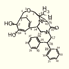 CC1C2OCC3CC=C(C=C(O)C3O)C3CN(CC(c4ccccc4)c4ccccc4)C(=O)[C@H]2N31